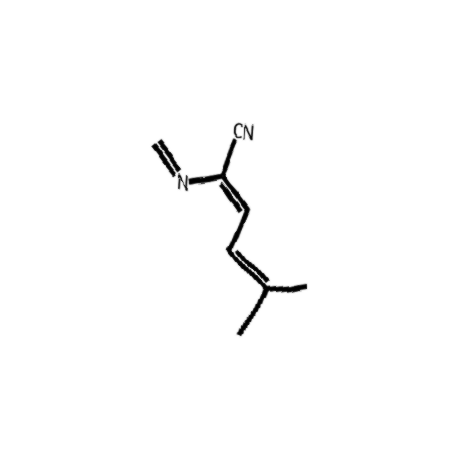 C=N/C(C#N)=C\C=C(C)C